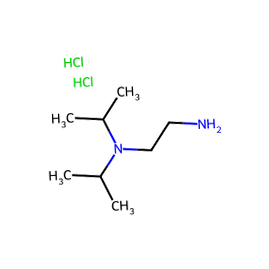 CC(C)N(CCN)C(C)C.Cl.Cl